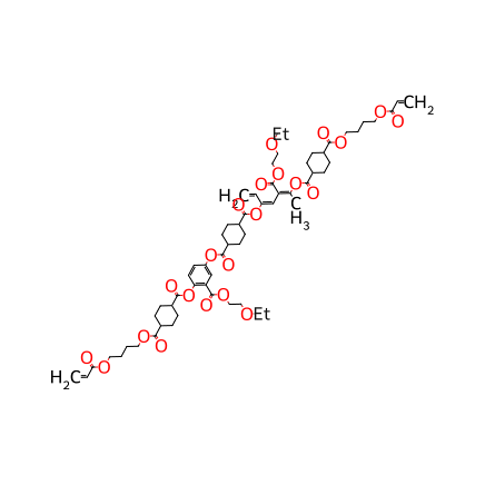 C=CC(=O)OCCCCOC(=O)C1CCC(C(=O)O/C(C)=C(/C=C(\C=C)OC(=O)C2CCC(C(=O)Oc3ccc(OC(=O)C4CCC(C(=O)OCCCCOC(=O)C=C)CC4)c(C(=O)OCCOCC)c3)CC2)C(=O)OCCOCC)CC1